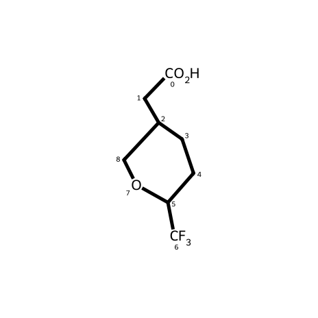 O=C(O)CC1CCC(C(F)(F)F)OC1